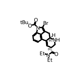 CCN(CC)C(=O)[C@@H]1C=C2c3cccc4c3c(c(Br)n4C(=O)OC(C)(C)C)C[C@H]2NC1